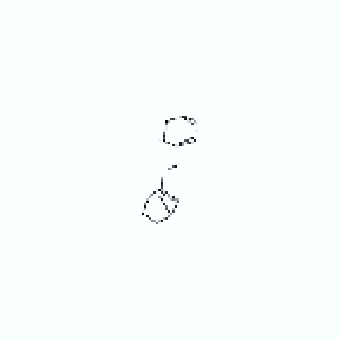 [CH]1CC=CC=C1CCC1=CC2CCC1C2